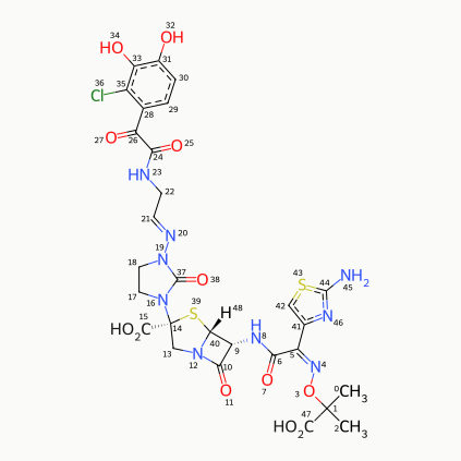 CC(C)(O/N=C(\C(=O)N[C@@H]1C(=O)N2C[C@@](C(=O)O)(N3CCN(/N=C/CNC(=O)C(=O)c4ccc(O)c(O)c4Cl)C3=O)S[C@H]12)c1csc(N)n1)C(=O)O